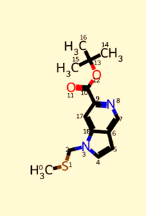 CSCn1ccc2cnc(C(=O)OC(C)(C)C)cc21